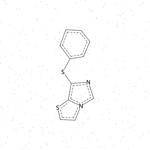 c1ccc(Sc2ncn3ccsc23)cc1